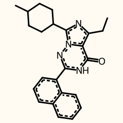 CCc1nc(C2CCC(C)CC2)n2nc(-c3cccc4ccccc34)[nH]c(=O)c12